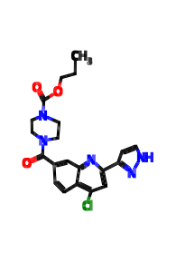 CCCOC(=O)N1CCN(C(=O)c2ccc3c(Cl)cc(-c4cc[nH]n4)nc3c2)CC1